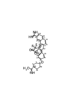 CC(=N)N1CCC(Oc2ccc(N(Cc3ccc4ccc(C(=N)N)cc4c3)S(=O)(=O)C(F)(F)C(=O)O)cc2)CC1